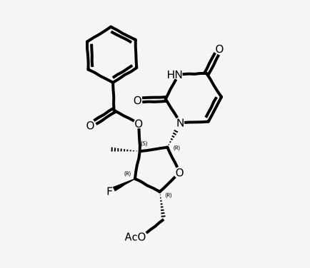 CC(=O)OC[C@H]1O[C@@H](n2ccc(=O)[nH]c2=O)[C@](C)(OC(=O)c2ccccc2)[C@@H]1F